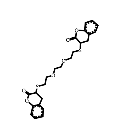 O=C1Oc2ccccc2CC1SCCOCCOCCSC1Cc2ccccc2OC1=O